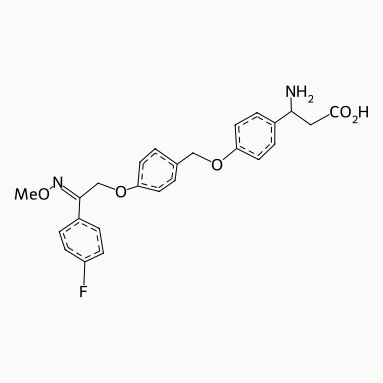 CO/N=C(/COc1ccc(COc2ccc(C(N)CC(=O)O)cc2)cc1)c1ccc(F)cc1